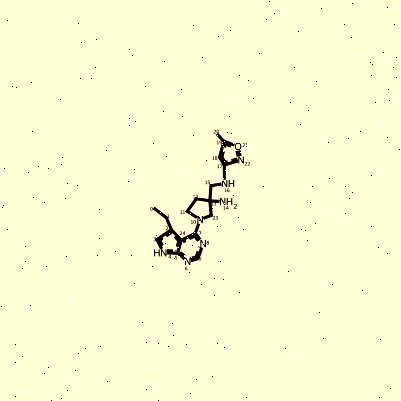 CCc1c[nH]c2ncnc(N3CCC(N)(CNc4cc(C)on4)C3)c12